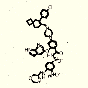 O=C(N[S+]([O-])c1ccc(NCC2COCCO2)c([N+](=O)[O-])c1)c1ccc(N2CCN(CC3=C(c4ccc(Cl)cc4)CC4(CCC4)CC3)CC2)cc1Oc1cnc2[nH]ccc2c1